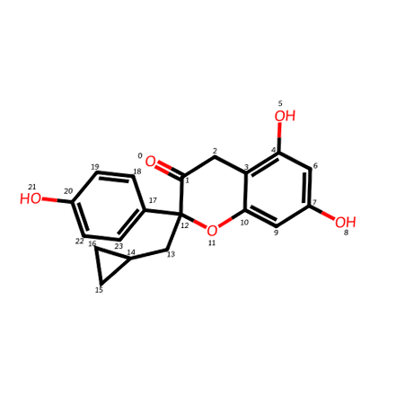 O=C1Cc2c(O)cc(O)cc2OC1(CC1CC1)c1ccc(O)cc1